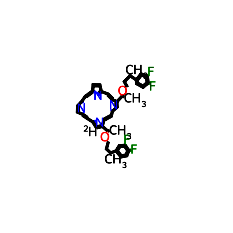 [2H]C1=C(C(C)OCCC(C)c2ccc(F)c(F)c2)C2=CC3=NC(=CC4=NC(=CC5=NC(=CC1=N2)C=C5)C=C4)C(C(C)OCCC(C)c1ccc(F)c(F)c1)=C3